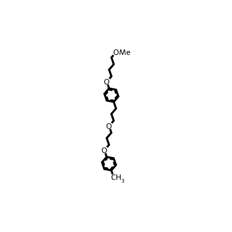 COCCCCOc1ccc(CCCOCCCOc2ccc(C)cc2)cc1